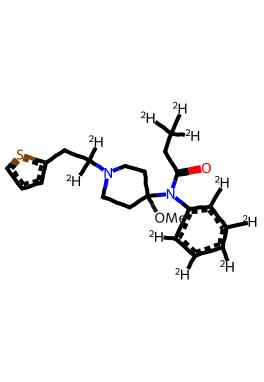 [2H]c1c([2H])c([2H])c(N(C(=O)CC([2H])([2H])[2H])C2(OC)CCN(C([2H])([2H])Cc3cccs3)CC2)c([2H])c1[2H]